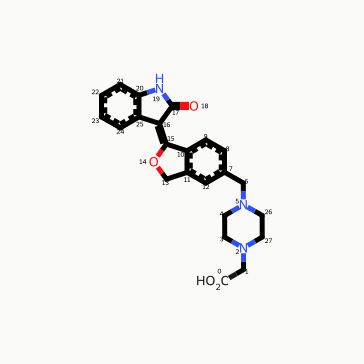 O=C(O)CN1CCN(Cc2ccc3c(c2)COC3=C2C(=O)Nc3ccccc32)CC1